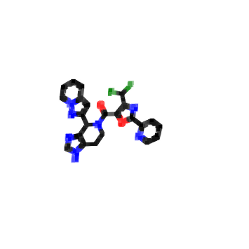 O=C(c1oc(-c2ccccn2)nc1C(F)F)N1CCc2[nH]cnc2C1c1cc2ccccn2n1